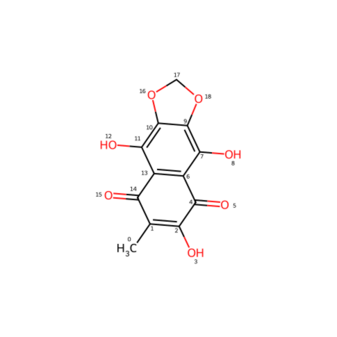 CC1=C(O)C(=O)c2c(O)c3c(c(O)c2C1=O)OCO3